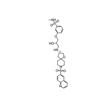 CNS(=O)(=O)c1cccc(OCC(O)CN[C@@H]2COC3(CCN(S(=O)(=O)c4ccc5ncccc5c4)CC3)C2)c1